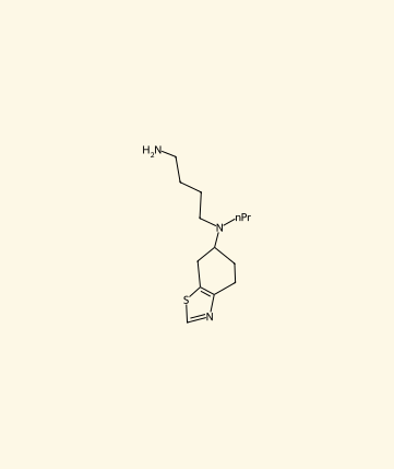 CCCN(CCCCN)C1CCc2ncsc2C1